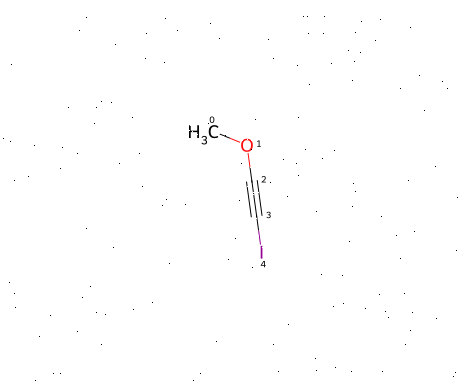 COC#CI